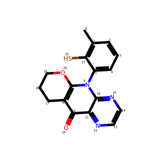 Cc1cccc(-n2c3c(c(=O)c4nccnc42)CCCO3)c1S